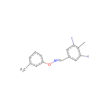 Cc1c(I)cc(/C=N/Oc2cccc(C(F)(F)F)c2)cc1I